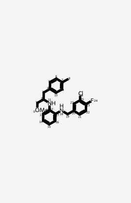 COCC(Cc1ccc(C)cc1)Nc1ccccc1NCc1ccc(F)c(Cl)c1